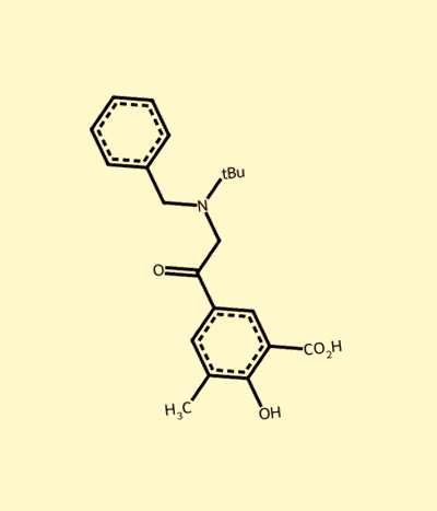 Cc1cc(C(=O)CN(Cc2ccccc2)C(C)(C)C)cc(C(=O)O)c1O